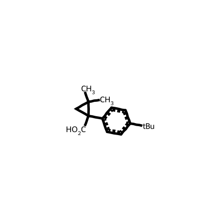 CC(C)(C)c1ccc(C2(C(=O)O)CC2(C)C)cc1